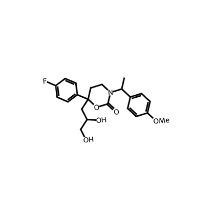 COc1ccc(C(C)N2CCC(CC(O)CO)(c3ccc(F)cc3)OC2=O)cc1